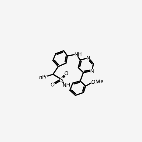 CCCC(c1cccc(Nc2cc(-c3ccccc3OC)ncn2)c1)S(N)(=O)=O